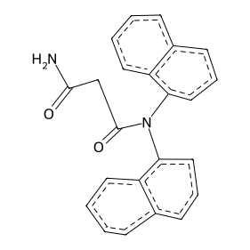 NC(=O)CC(=O)N(c1cccc2ccccc12)c1cccc2ccccc12